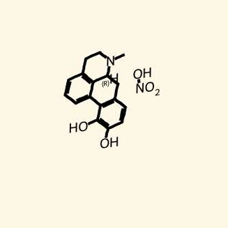 CN1CCc2cccc3c2[C@H]1Cc1ccc(O)c(O)c1-3.O=[N+]([O-])O